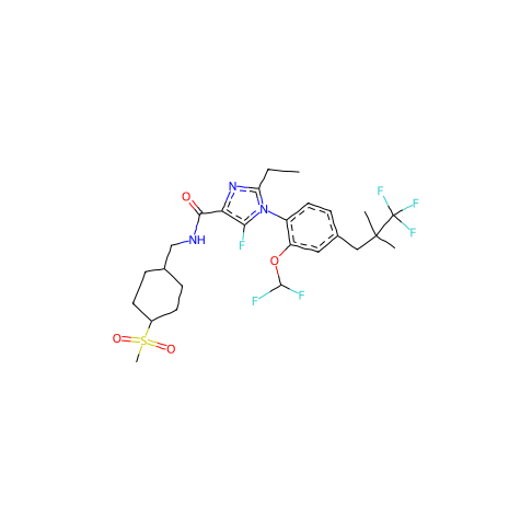 CCc1nc(C(=O)NCC2CCC(S(C)(=O)=O)CC2)c(F)n1-c1ccc(CC(C)(C)C(F)(F)F)cc1OC(F)F